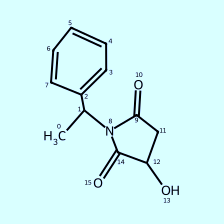 CC(c1ccccc1)N1C(=O)CC(O)C1=O